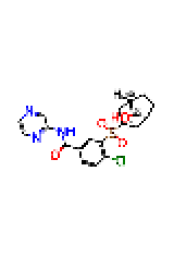 C[C@@]1(O)C2CC[C@H]1CC(S(=O)(=O)c1cc(C(=O)Nc3cnccn3)ccc1Cl)C2